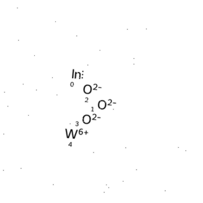 [In].[O-2].[O-2].[O-2].[W+6]